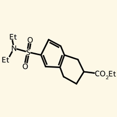 CCOC(=O)C1CCc2cc(S(=O)(=O)N(CC)CC)ccc2C1